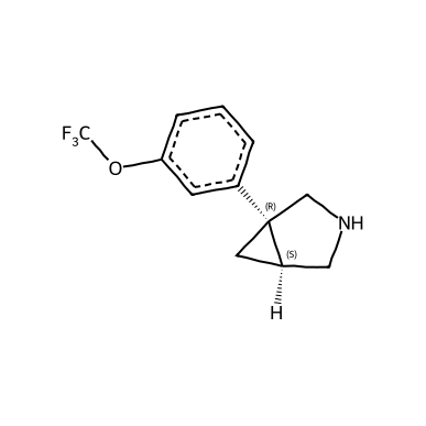 FC(F)(F)Oc1cccc([C@]23CNC[C@H]2C3)c1